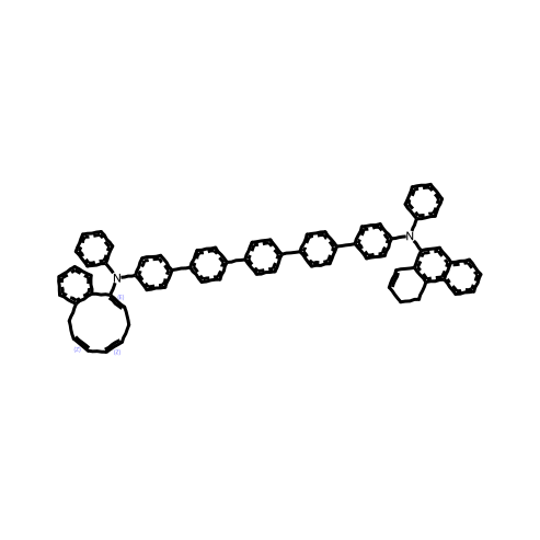 C1=Cc2c(N(c3ccccc3)c3ccc(-c4ccc(-c5ccc(-c6ccc(-c7ccc(N(/C8=C/C/C=C\C=C/Cc9ccccc98)c8ccccc8)cc7)cc6)cc5)cc4)cc3)cc3ccccc3c2CC1